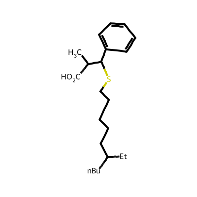 CCCCC(CC)CCCCCSC(c1ccccc1)C(C)C(=O)O